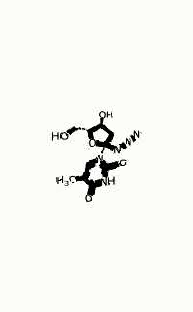 Cc1cn([C@@]2(N=[N+]=[N-])C[C@H](O)[C@@H](CO)O2)c(=O)[nH]c1=O